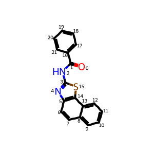 O=C(Nc1nc2ccc3ccccc3c2s1)c1ccccc1